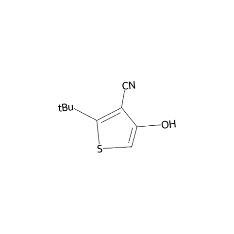 CC(C)(C)c1scc(O)c1C#N